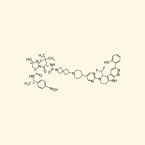 C#Cc1ccc([C@H](C)NC(=O)[C@@H]2C[C@@H](O)CN2C(=O)[C@@H](NC(=O)N2CC3(CC(N4CCC(c5cnc(N6CCc7[nH]c8nnc(-c9ccccc9O)cc8c7C6C(F)F)nc5)CC4)C3)C2)C(C)(C)C)cc1